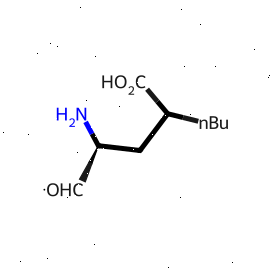 CCCCC(C[C@H](N)[C]=O)C(=O)O